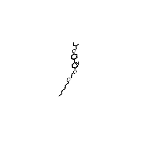 CCCCCCOCCOc1ccc(-c2ccc(OCC(C)CC)cc2)nc1